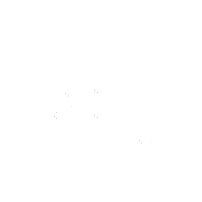 CC(=O)Nc1cccc(Nc2nc3ccccc3nc2C(N)=O)c1